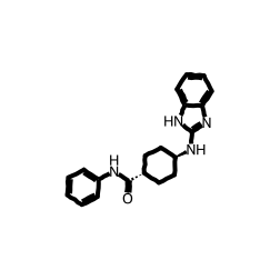 O=C(Nc1ccccc1)[C@H]1CC[C@H](Nc2nc3ccccc3[nH]2)CC1